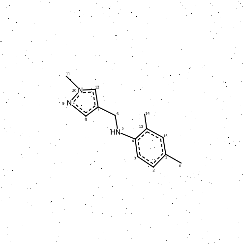 Cc1ccc(NCc2cnn(C)c2)c(C)c1